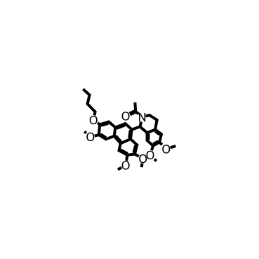 CCCCOc1cc2cc(C3c4cc(OC)c(OC)cc4CCN3C(C)=O)c3cc(OC)c(OC)cc3c2cc1OC